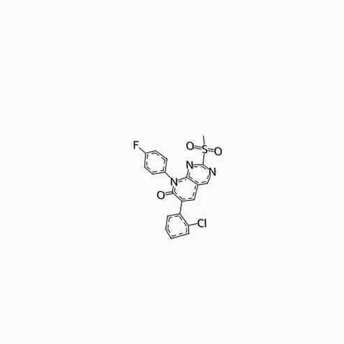 CS(=O)(=O)c1ncc2cc(-c3ccccc3Cl)c(=O)n(-c3ccc(F)cc3)c2n1